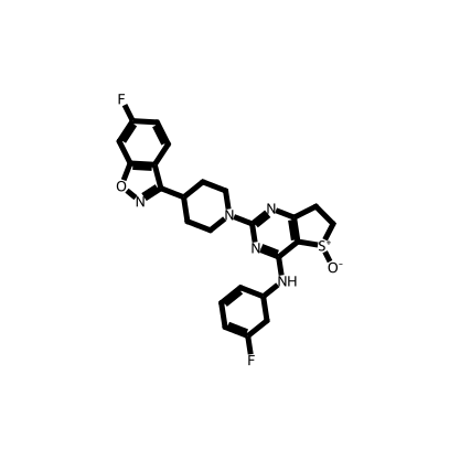 [O-][S+]1CCc2nc(N3CCC(c4noc5cc(F)ccc45)CC3)nc(NC3C=CC=C(F)C3)c21